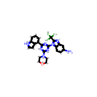 Nc1ccc2c(c1)nc(C(F)(F)F)n2-c1nc(-c2cccc3[nH]ccc23)nc(N2CCOCC2)n1